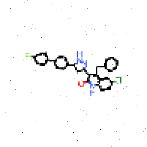 O=c1[nH]c2ccc(Cl)cc2c(Cc2ccccc2)c1C1=NNC(c2ccc(-c3ccc(F)cc3)cc2)C1